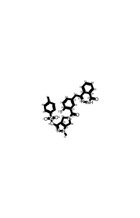 Cc1ccc(S(=O)(=O)Oc2nn(C)c3c2CN(C(=O)c2cc(Cc4n[nH]c(=O)c5ccccc45)ccc2F)C3)cc1